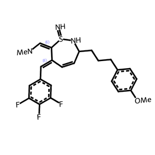 CN/C=C1\C(=C\c2cc(F)c(F)c(F)c2)C=CC(CCCc2ccc(OC)cc2)NS1=N